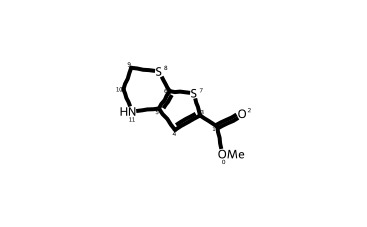 COC(=O)c1cc2c(s1)SCCN2